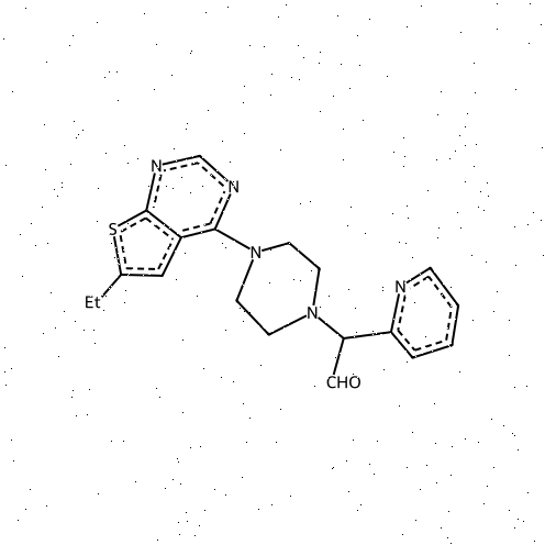 CCc1cc2c(N3CCN(C(C=O)c4ccccn4)CC3)ncnc2s1